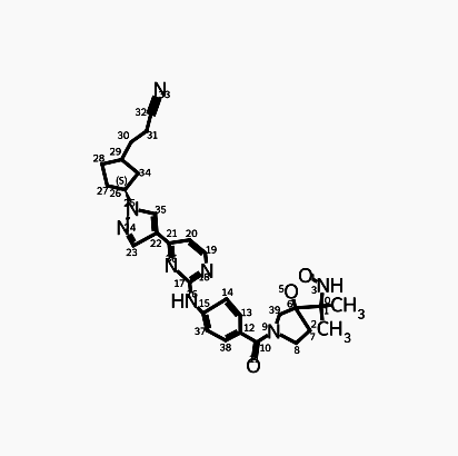 CC1(C)NOOC12CCN(C(=O)c1ccc(Nc3nccc(-c4cnn([C@H]5CCC(CCC#N)C5)c4)n3)cc1)C2